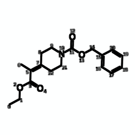 CCOC(=O)C(C)=C1CCN(C(=O)OCc2ccccc2)CC1